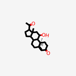 CC(=O)C1CCC2C3CCC4=CC(=O)CC[C@]4(C)C3C(O)CC12C